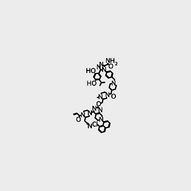 C=CC(=O)N1CCN(c2nc(OCC3CN(C(=O)C4CCN(Cc5ccc(-n6c(C(N)=O)nnc6-c6cc(C(C)C)c(O)cc6O)cc5)CC4)CCN3C)nc3c2CCN(c2cccc4cccc(Cl)c24)C3)CC1CC#N